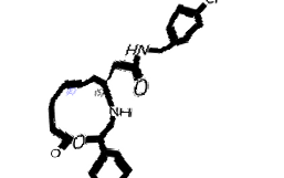 O=C(C[C@@H]1C/C=C/CCC(=O)OC(c2ccccc2)CNC1)NCc1ccc(Cl)cc1